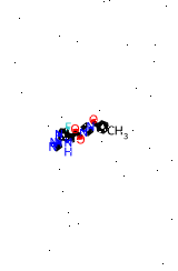 CC1CCC(C(=O)N2CCN(C(=O)C(=O)c3c[nH]c4c(-n5ccnn5)ncc(F)c34)CC2)CC1